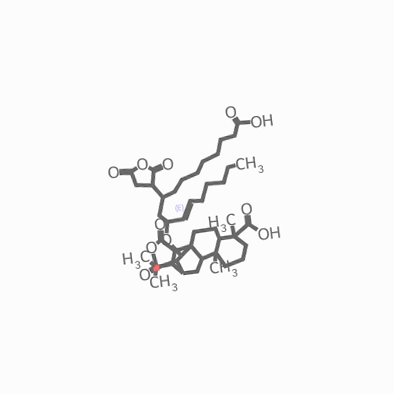 CCCCC/C=C/C(CC(CCCCCCCC(=O)O)C1CC(=O)OC1=O)OC1C(C(C)C)C2CC3C4(C)CCCC(C)(C(=O)O)C4CCC13C1C(=O)OC(=O)C21